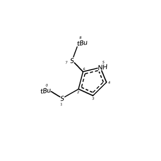 CC(C)(C)Sc1cc[nH]c1SC(C)(C)C